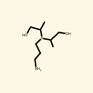 CC(CO)N(CCCN)C(C)CO